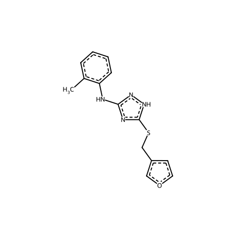 Cc1ccccc1Nc1n[nH]c(SCc2ccoc2)n1